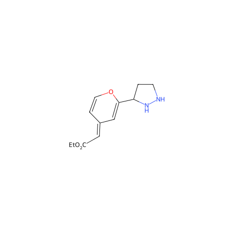 CCOC(=O)C=C1C=COC(C2CCNN2)=C1